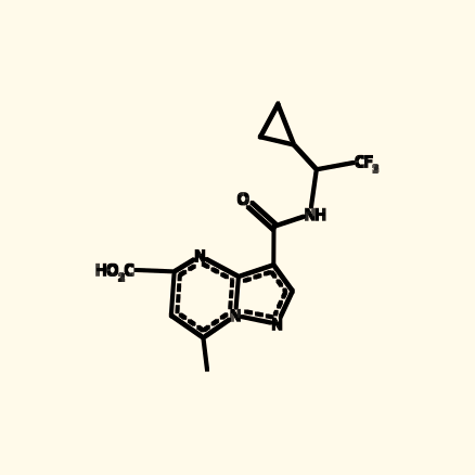 Cc1cc(C(=O)O)nc2c(C(=O)NC(C3CC3)C(F)(F)F)cnn12